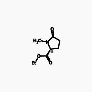 CCOC(=O)[C@@H]1CCC(=O)N1C